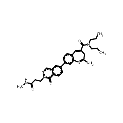 CCCN(CCC)C(=O)C1=Cc2ccc(-c3ccc4c(=O)n(CCC(=O)NC)ncc4c3)cc2N=C(N)C1